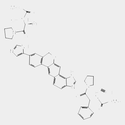 C#C[C@H]1CC[C@@H](c2nc3ccc4cc5c(cc4c3[nH]2)OCc2cc(-c3cnc([C@@H]4CC[C@H](C)N4C(=O)[C@@H](NC(=O)OC)C(C)C)[nH]3)ccc2-5)N1C(=O)[C@H](NC(=O)OC)c1ccccc1